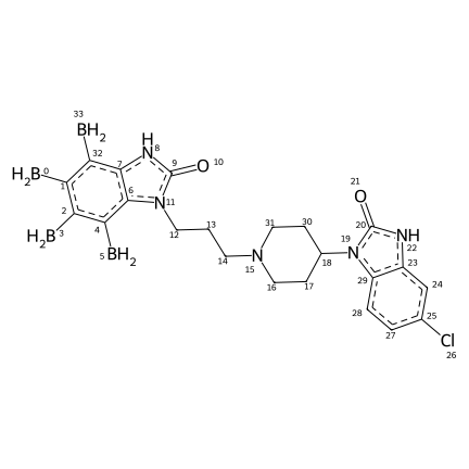 Bc1c(B)c(B)c2c([nH]c(=O)n2CCCN2CCC(n3c(=O)[nH]c4cc(Cl)ccc43)CC2)c1B